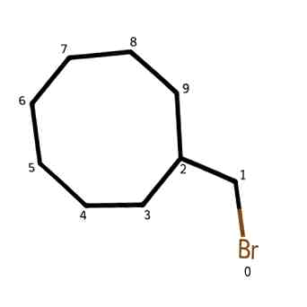 BrCC1CCCCCCC1